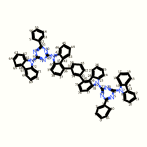 c1ccc(-c2nc(-n3c4ccccc4c4ccccc43)nc(-n3c4ccccc4c4c(-c5cccc(-c6cccc7c6c6ccccc6n7-c6nc(-c7ccccc7)nc(-n7c8ccccc8c8ccccc87)n6)c5)cccc43)n2)cc1